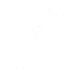 CCc1nc2ccc(Cl)cn2c1C(=O)NCc1cccc(N2CCN(c3ccc(OC(F)(F)P)cc3)CC2)c1